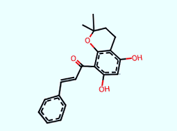 CC1(C)CCc2c(O)[c]c(O)c(C(=O)/C=C/c3ccccc3)c2O1